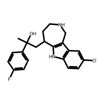 CC(O)(CC1CCNCc2c1[nH]c1ccc(Cl)cc21)c1ccc(F)cc1